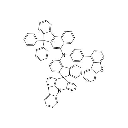 c1ccc(C2(c3ccccc3)c3ccccc3-c3c2cc(N(c2ccc(-c4cccc5sc6ccccc6c45)cc2)c2cccc4c2-c2ccccc2C42c4ccccc4-n4c5ccccc5c5cccc2c54)c2ccccc32)cc1